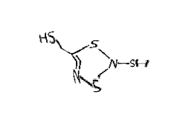 SC1=NSN(S)S1